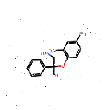 CC(CN)(Oc1ccc([N+](=O)[O-])cc1[N+](=O)[O-])c1ccccc1